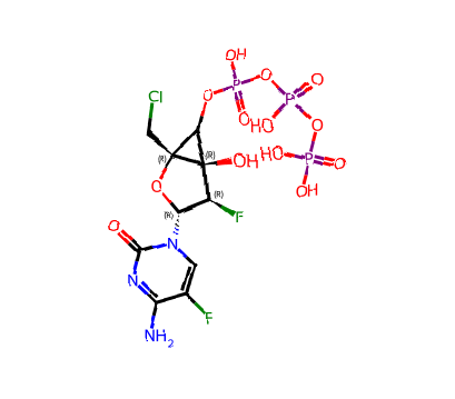 Nc1nc(=O)n([C@@H]2O[C@]3(CCl)C(OP(=O)(O)OP(=O)(O)OP(=O)(O)O)[C@]3(O)[C@H]2F)cc1F